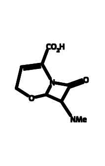 CNC1C(=O)N2C(C(=O)O)=CCOC12